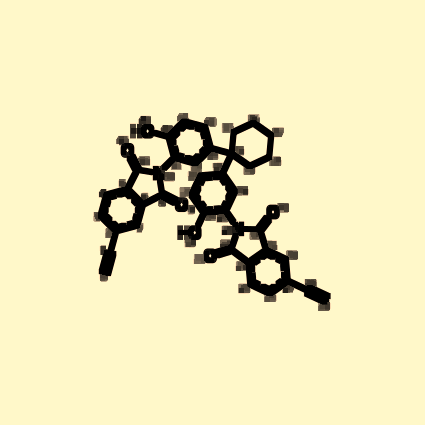 C#Cc1ccc2c(c1)C(=O)N(c1cc(C3(c4ccc(O)c(N5C(=O)c6ccc(C#C)cc6C5=O)c4)CCCCC3)ccc1O)C2=O